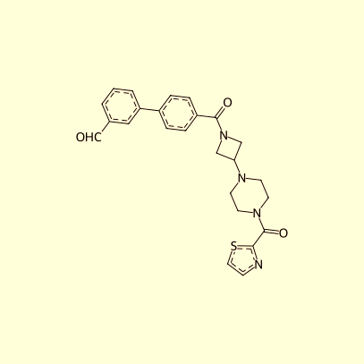 O=Cc1cccc(-c2ccc(C(=O)N3CC(N4CCN(C(=O)c5nccs5)CC4)C3)cc2)c1